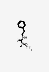 CN(OC(F)(F)F)C(=S)NCCc1ccccc1